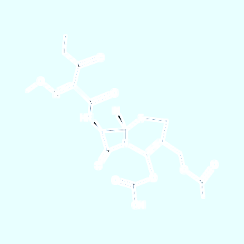 CCC(=O)C(=NOC)C(=O)N[C@@H]1C(=O)N2C(OC(=O)O)=C(COC(C)=O)CS[C@@H]12